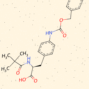 CC(C)(C)C(=O)N[C@@H](Cc1ccc(NC(=O)OCc2ccccc2)cc1)C(=O)O